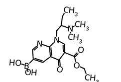 CCOC(=O)c1cn(CC(CC)N(C)C)c2ncc(B(O)O)cc2c1=O